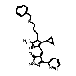 Cc1[nH]c(C=C2C(=O)NN=C2c2cccnn2)c(C2CC2)c1CCCNCc1ccccc1